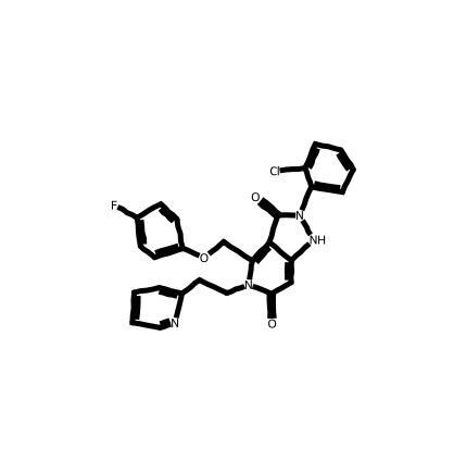 O=c1c2c(COc3ccc(F)cc3)n(CCc3ccccn3)c(=O)cc2[nH]n1-c1ccccc1Cl